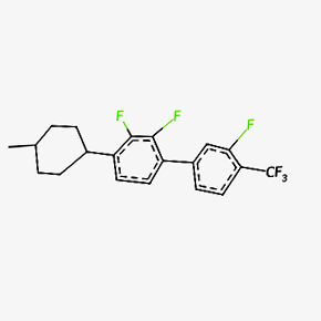 CC1CCC(c2ccc(-c3ccc(C(F)(F)F)c(F)c3)c(F)c2F)CC1